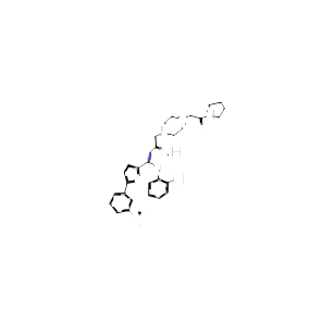 CS(=O)(=O)c1cccc(-c2ccc(/C(=C/C(=N)CN3CCN(CC(=O)N4CCCC4)CC3)Nc3ccccc3Cl)s2)c1